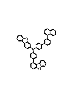 c1cc(-c2ccc(N(c3ccc(-c4cccc5oc6ccccc6c45)cc3)c3ccc4c(c3)oc3ccccc34)cc2)cc(-c2cccc3ccccc23)c1